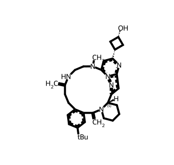 C=C1CCc2ccc(C(C)(C)C)cc2C(=C)N2CCCC[C@H]2c2cc3nc([C@H]4C[C@@H](O)C4)cc(n3n2)N(C)CCN1